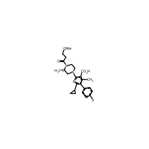 COCCC(=O)N1CCN(c2nc(C3CC3)c(-c3ccc(F)cc3)c(C)c2C(=O)O)C[C@H]1C